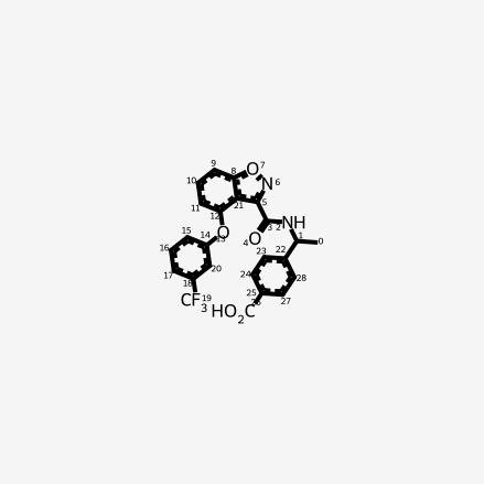 CC(NC(=O)c1noc2cccc(Oc3cccc(C(F)(F)F)c3)c12)c1ccc(C(=O)O)cc1